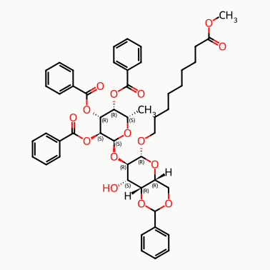 COC(=O)CCCCCCCCO[C@@H]1O[C@@H]2COC(c3ccccc3)O[C@@H]2[C@H](O)[C@H]1O[C@@H]1O[C@@H](C)[C@@H](OC(=O)c2ccccc2)[C@@H](OC(=O)c2ccccc2)[C@@H]1OC(=O)c1ccccc1